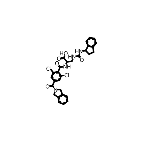 O=C(NCC(NC(=O)c1c(Cl)cc(C(=O)N2Cc3ccccc3C2)cc1Cl)C(=O)O)NC1CCc2ccccc21